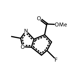 COC(=O)c1cc(F)cc2oc(C)nc12